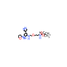 CC(C)(C)OC(=O)NCCCCOCCNc1cc(-c2ccnnc2)cc2c1nnn2C1CCCCO1